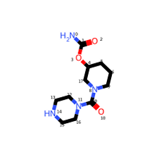 NC(=O)OC1CCCN(C(=O)N2CCNCC2)C1